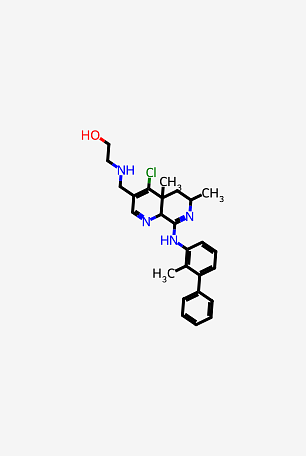 Cc1c(NC2=NC(C)CC3(C)C(Cl)=C(CNCCO)C=NC23)cccc1-c1ccccc1